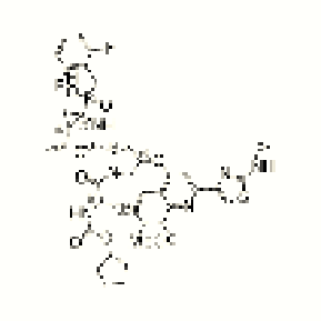 C=C[C@@H]1C[C@]1(NC(=O)[C@@H]1C[C@@H](Oc2cc(-c3csc(NC(C)C)n3)nc3c(Cl)c(OC)ccc23)CN1C(=O)[C@@H](NC(=O)OC1CCCC1)C(C)(C)C)P(=O)(O)Cc1c(F)cccc1F